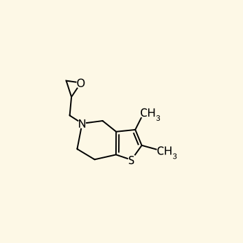 Cc1sc2c(c1C)CN(CC1CO1)CC2